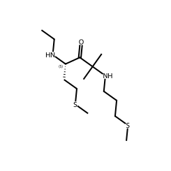 CCN[C@@H](CCSC)C(=O)C(C)(C)NCCCSC